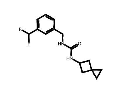 O=C(NCc1cccc(C(F)F)c1)NC1CC2(CC2)C1